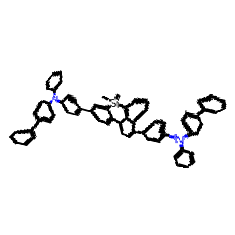 C[Si]1(C)c2cc(-c3ccc(N(c4ccccc4)c4ccc(-c5ccccc5)cc4)cc3)ccc2-c2ccc(-c3ccc(N(c4ccccc4)c4ccc(-c5ccccc5)cc4)cc3)c3cccc1c23